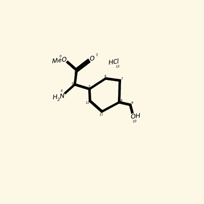 COC(=O)C(N)C1CCC(CO)CC1.Cl